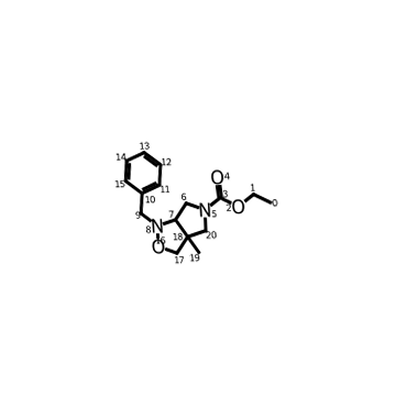 CCOC(=O)N1CC2N(Cc3ccccc3)OCC2(C)C1